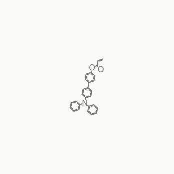 C=CC(=O)Oc1ccc(-c2ccc(N(c3ccccc3)c3ccccc3)cc2)cc1